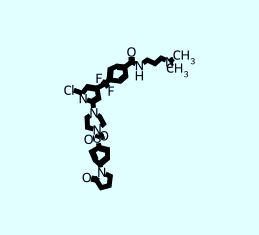 CN(C)CCCNC(=O)c1ccc(C(F)(F)c2cc(Cl)nc(N3CCN(S(=O)(=O)c4ccc(N5CCCC5=O)cc4)CC3)c2)cc1